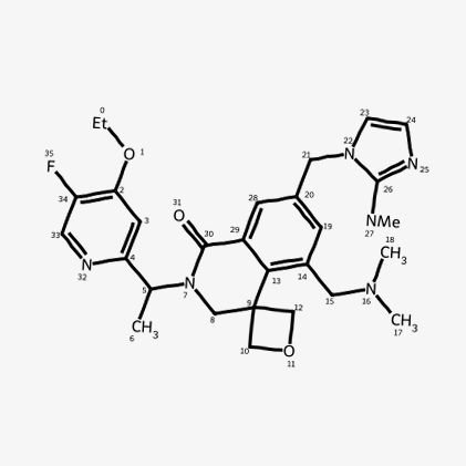 CCOc1cc(C(C)N2CC3(COC3)c3c(CN(C)C)cc(Cn4ccnc4NC)cc3C2=O)ncc1F